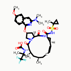 COc1ccc2c(O[C@@H]3C[C@H]4C(=O)N[C@]5(C(=O)NS(=O)(=O)C6(C)CC6)C[C@H]5/C=C\CC[C@@H](C)C[C@@H](C)[C@H](N(C(=O)O)C(C)(C)C(F)(F)F)C(=O)N4C3)nc(N(C)C)cc2c1